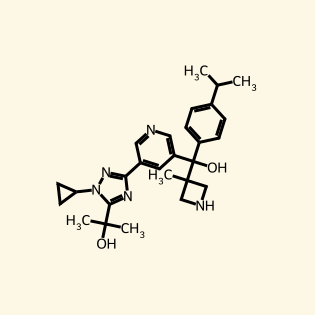 CC(C)c1ccc(C(O)(c2cncc(-c3nc(C(C)(C)O)n(C4CC4)n3)c2)C2(C)CNC2)cc1